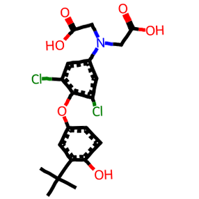 CC(C)(C)c1cc(Oc2c(Cl)cc(N(CC(=O)O)CC(=O)O)cc2Cl)ccc1O